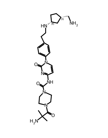 CC(C)(N)C(=O)N1CCN(C(=O)Nc2ccn(-c3ccc(CCN[C@@H]4CC[C@H](CN)C4)cc3)c(=O)n2)CC1